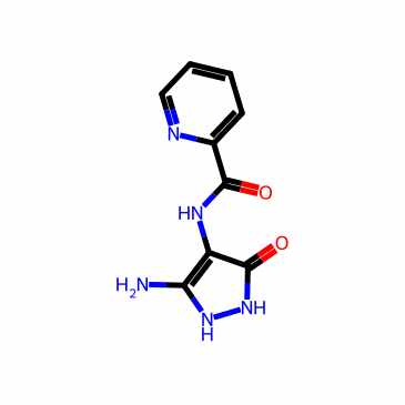 Nc1[nH][nH]c(=O)c1NC(=O)c1ccccn1